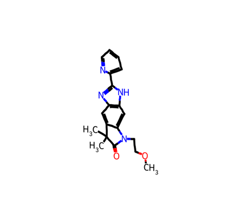 COCCN1C(=O)C(C)(C)c2cc3nc(-c4ccccn4)[nH]c3cc21